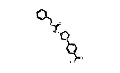 O=C(N[C@@H]1CCN(c2ccc(C(=O)O)cc2)C1)OCc1ccccc1